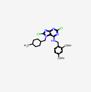 COc1ccc(CNc2nc(Cl)nc3nc(Cl)n(CC4CCC(C)CC4)c23)c(OC)c1